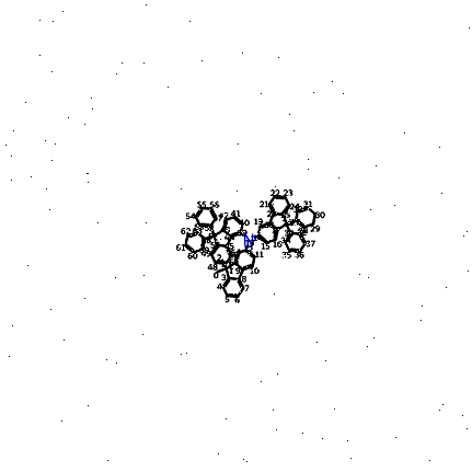 CC1(C)c2ccccc2-c2ccc(N(c3ccc4c(c3)-c3ccccc3C4(C3=CCCC=C3)c3ccccc3)c3cccc4c3-c3ccccc3C4(c3ccccc3)c3ccccc3)cc21